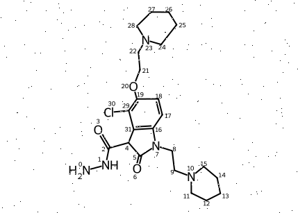 NNC(=O)C1C(=O)N(CCN2CCCCC2)c2ccc(OCCN3CCCCC3)c(Cl)c21